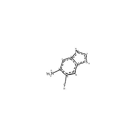 Nc1cc2ncsc2cc1F